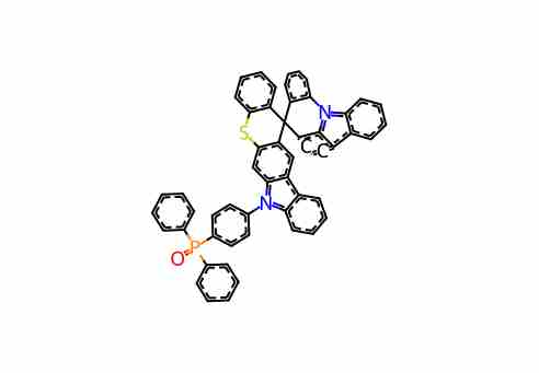 O=P(c1ccccc1)(c1ccccc1)c1ccc(-n2c3ccccc3c3cc4c(cc32)Sc2ccccc2C42c3ccccc3-n3c4ccccc4c4cccc2c43)cc1